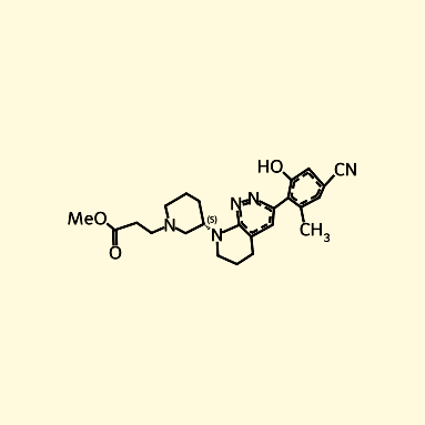 COC(=O)CCN1CCC[C@H](N2CCCc3cc(-c4c(C)cc(C#N)cc4O)nnc32)C1